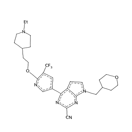 CCN1CCC(CCOc2ncc(-c3nc(C#N)nc4c3ccn4CC3CCOCC3)cc2C(F)(F)F)CC1